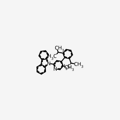 Cc1cnc(-n2c3ccccc3c3ccccc32)cc1-c1c(C(C)C)cccc1C(C)C